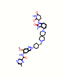 COc1cc2nn([C@H]3CC[C@H](CN4CCC5(CC4)CCN(c4cccc6c4n(C)c(=O)n6C4CCC(=O)NC4=O)CC5)CC3)cc2cc1NC(=O)c1cncc(C)n1